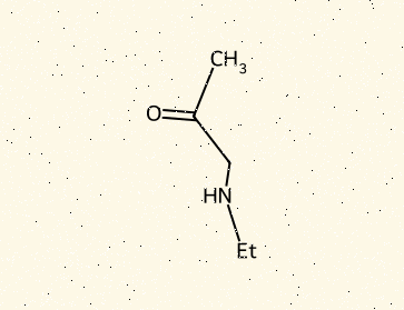 CCNCC(C)=O